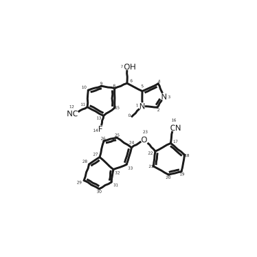 Cn1cncc1C(O)c1ccc(C#N)c(F)c1.N#Cc1ccccc1Oc1ccc2ccccc2c1